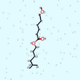 COCCCCCC(=O)OCCCCC(C)C